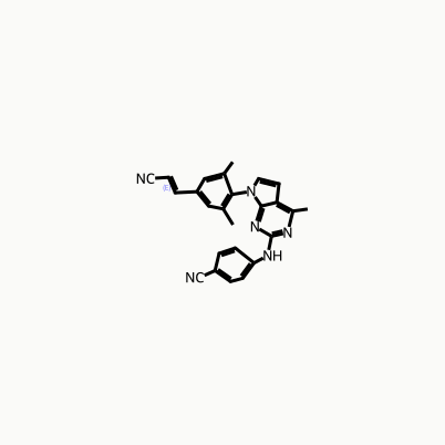 Cc1cc(/C=C/C#N)cc(C)c1-n1ccc2c(C)nc(Nc3ccc(C#N)cc3)nc21